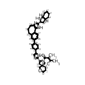 CC(C)[C@H](C)C(=O)N1C[C@]2(CCCOC2)C[C@H]1c1ncc(-c2ccc(-c3ccc4c(c3)CCCc3nc([C@@H]5C[C@@H]6CCCC[C@@H]6N5)[nH]c3-4)cc2)[nH]1